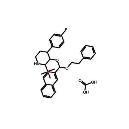 C[Si](C)(C)C1NCCC(c2ccc(F)cc2)C1OC(OCCc1ccccc1)c1ccc2ccccc2c1.O=C(O)O